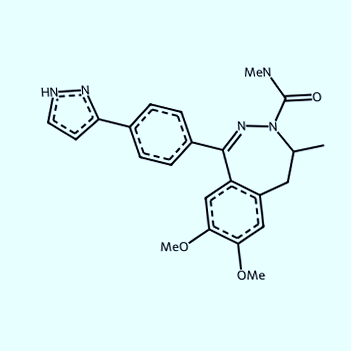 CNC(=O)N1N=C(c2ccc(-c3cc[nH]n3)cc2)c2cc(OC)c(OC)cc2CC1C